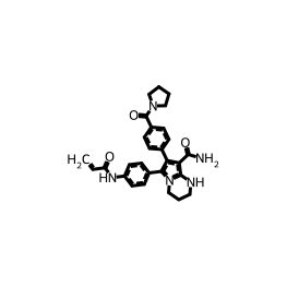 C=CC(=O)Nc1ccc(-c2c(-c3ccc(C(=O)N4CCCC4)cc3)c(C(N)=O)c3n2CCCN3)cc1